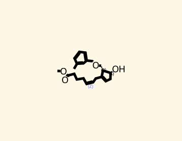 COC(=O)CCC/C=C\CC1=CC[C@H](O)[C@H]1COCc1cccc(C)c1